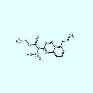 C=CCc1cccc2nc(C(C(=O)OCC)[N+](=O)[O-])ccc12